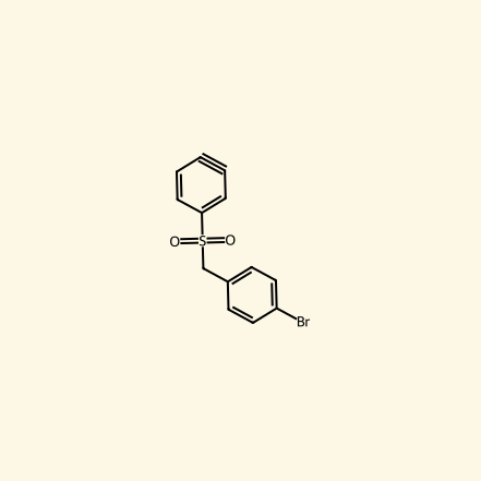 O=S(=O)(Cc1ccc(Br)cc1)c1cc#ccc1